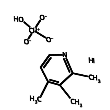 Cc1ccnc(C)c1C.I.[O-][Cl+3]([O-])([O-])O